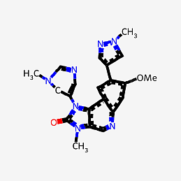 COc1cc2ncc3c(c2cc1-c1cnn(C)c1)n(C1=CN=CN(C)C1)c(=O)n3C